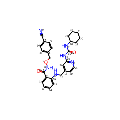 N#Cc1ccc(CONC(=O)c2ccccc2NCc2ccnc(NC(=O)NC3CCCCC3)c2)cc1